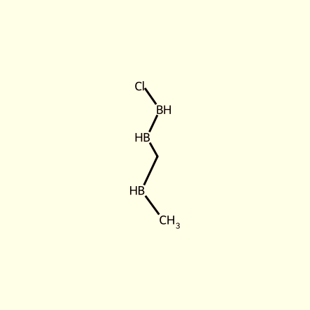 CBCBBCl